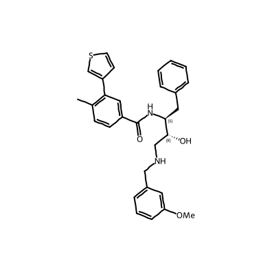 COc1cccc(CNC[C@@H](O)[C@H](Cc2ccccc2)NC(=O)c2ccc(C)c(-c3ccsc3)c2)c1